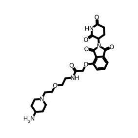 NC1CCN(CCOCCNC(=O)COc2cccc3c2C(=O)N(C2CCC(=O)NC2=O)C3=O)CC1